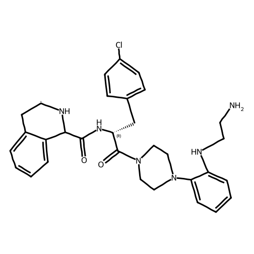 NCCNc1ccccc1N1CCN(C(=O)[C@@H](Cc2ccc(Cl)cc2)NC(=O)C2N[CH]Cc3ccccc32)CC1